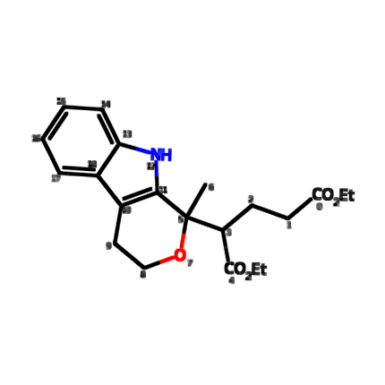 CCOC(=O)CCC(C(=O)OCC)C1(C)OCCc2c1[nH]c1ccccc21